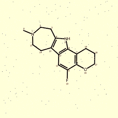 CN1CCc2[nH]c3c4c(c(F)cc3c2CC1)OCCC4